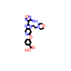 Nc1nonc1-c1nc2cnc(Oc3cccc(C(=O)O)c3)cc2n1CCN1CCOCC1